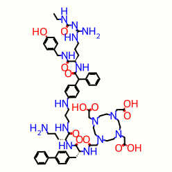 CCNC(=O)/N=C(/N)NCCC[C@@H](NC(=O)C(c1ccccc1)c1ccc(NCCCNC(=O)[C@@H](CCCN)NC(=O)[C@@H](Cc2ccc(-c3ccccc3)cc2)NC(=O)CN2CCN(CC(=O)O)CCN(CC(=O)O)CCN(CC(=O)O)CC2)cc1)C(=O)NCc1ccc(O)cc1